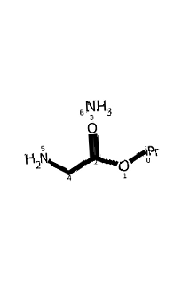 CC(C)OC(=O)CN.N